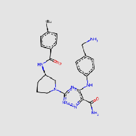 CC(C)(C)c1ccc(C(=O)N[C@@H]2CCCN(c3nnc(C(N)=O)c(Nc4ccc(CN)cc4)n3)C2)cc1